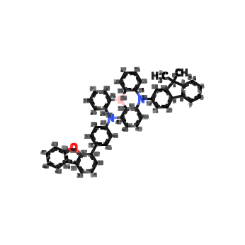 CC1(C)c2ccccc2-c2ccc(N3c4ccccc4B4c5ccccc5N(c5ccc(-c6cccc7c6oc6ccccc67)cc5)c5cccc3c54)cc21